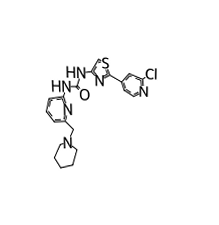 O=C(Nc1cccc(CN2CCCCC2)n1)Nc1csc(-c2ccnc(Cl)c2)n1